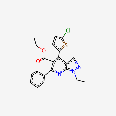 CCOC(=O)c1c(-c2ccccc2)nc2c(cnn2CC)c1-c1ccc(Cl)s1